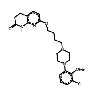 COc1c(Cl)cccc1N1CCN(CCCCOc2ccc3c(n2)NC(=O)CC3)CC1